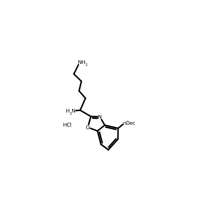 CCCCCCCCCCc1cccc2oc(C(N)CCCCN)nc12.Cl